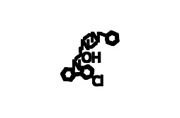 OC(CN1CCN(Cc2ccccc2)CC1)Cn1c2ccccc2c2cc(Cl)ccc21